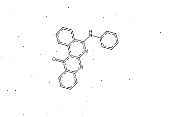 O=c1c2ccccc2nc2nc(Nc3ccccc3)c3ccccc3n12